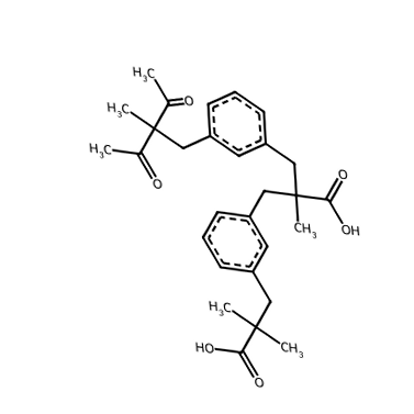 CC(=O)C(C)(Cc1cccc(CC(C)(Cc2cccc(CC(C)(C)C(=O)O)c2)C(=O)O)c1)C(C)=O